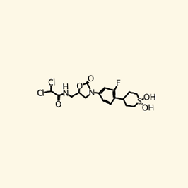 O=C(NCC1CN(c2ccc(C3CCS(O)(O)CC3)c(F)c2)C(=O)O1)C(Cl)Cl